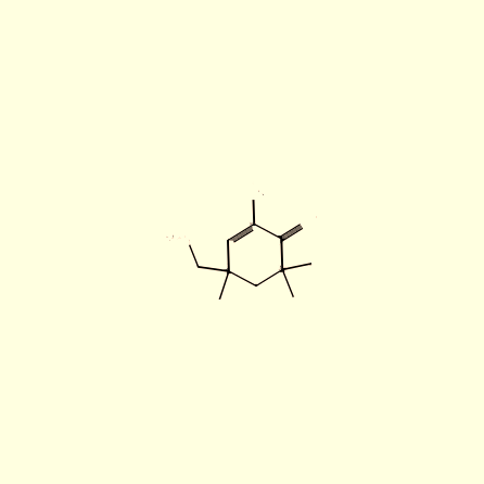 CNCC1(C)C=C(C#N)C(=O)C(C)(C)C1